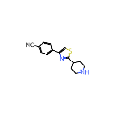 N#Cc1ccc(-c2csc(C3CCNCC3)n2)cc1